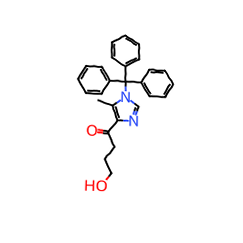 Cc1c(C(=O)CCCO)ncn1C(c1ccccc1)(c1ccccc1)c1ccccc1